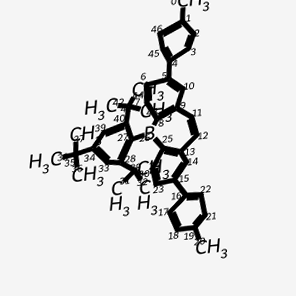 Cc1ccc(-c2ccc3c(c2)C=Cc2cc(-c4ccc(C)cc4)ccc2B3c2c(C(C)(C)C)cc(C(C)(C)C)cc2C(C)(C)C)cc1